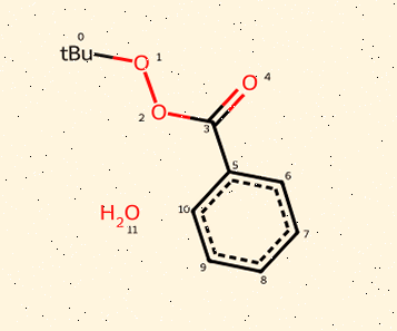 CC(C)(C)OOC(=O)c1ccccc1.O